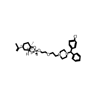 C=C(C)[C@H]1CC[C@@]2(C)OP(=S)(OCCOCCN3CCN(C(c4ccccc4)c4ccc(Cl)cc4)CC3)S[C@@H]2C1